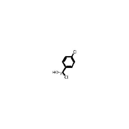 O[C@@H](Cl)c1ccc(Cl)cc1